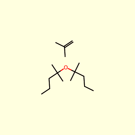 C=C(C)C.CCCC(C)(C)OC(C)(C)CCC